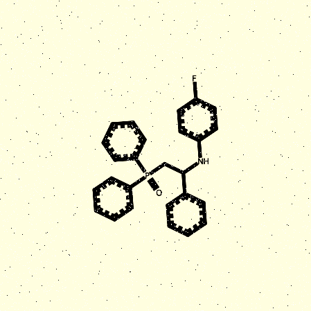 O=P(CC(Nc1ccc(F)cc1)c1ccccc1)(c1ccccc1)c1ccccc1